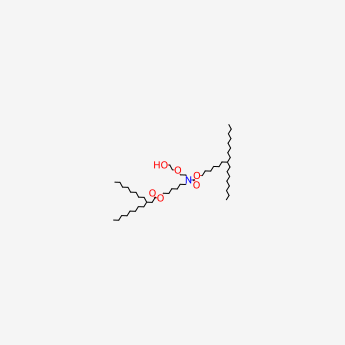 CCCCCCCCC(CCCCCCCC)CCCCCCOC(=O)N(CCCCCCOC(=O)CC(CCCCCCCC)CCCCCCCC)CCOCCO